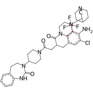 Nc1c(Cl)cc(CC(CC(=O)N2CCC(N3CCc4ccccc4NC3=O)CC2)C(=O)N2CCN(C3CN4CCC3CC4)CC2)cc1C(F)(F)F